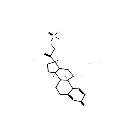 C[C@H]1C[C@H]2[C@@H]3CCC4=CC(=O)C=C[C@]4(C)[C@@]3(F)[C@@H](O)C[C@]2(C)[C@@]1(O)C(=O)COP(=O)(O)O.Cl.[CaH2].[NaH].[NaH]